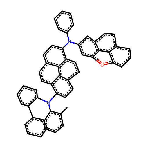 Cc1ccccc1N(c1ccccc1-c1ccccc1)c1ccc2ccc3c(N(c4ccccc4)c4cc5ccc6cccc7oc(c4)c5c67)ccc4ccc1c2c43